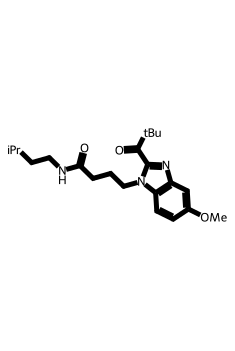 COc1ccc2c(c1)nc(C(=O)C(C)(C)C)n2CCCC(=O)NCCC(C)C